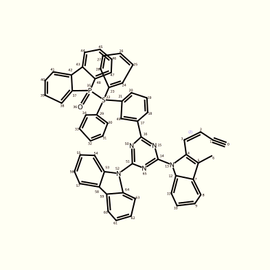 C#C/C=C\c1c(C)c2ccccc2n1-c1nc(-c2cccc(S(c3ccccc3)(c3ccccc3)P3(=O)c4ccccc4-c4ccccc43)c2)nc(-n2c3ccccc3c3ccccc32)n1